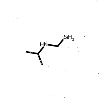 CC(C)NC[SiH3]